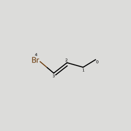 CCC=CBr